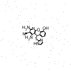 N#Cc1c(N)nc2c(c1N)C(Sc1ncc[nH]1)c1cccc(O)c1O2